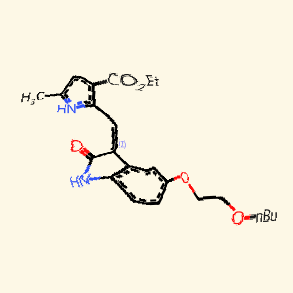 CCCCOCCOc1ccc2c(c1)/C(=C/c1[nH]c(C)cc1C(=O)OCC)C(=O)N2